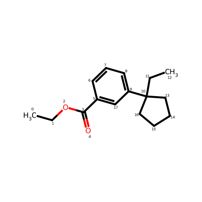 CCOC(=O)c1cccc(C2(CC)CCCC2)c1